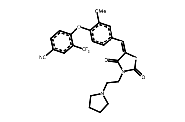 COc1cc(C=C2SC(=O)N(CCN3CCCC3)C2=O)ccc1Oc1ccc(C#N)cc1C(F)(F)F